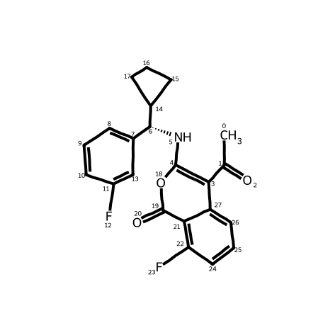 CC(=O)c1c(N[C@H](c2cccc(F)c2)C2CCC2)oc(=O)c2c(F)cccc12